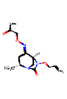 C=CCON1C(=O)N2C[C@H]1C(=NOCC(=O)NC)C[C@H]2C(=O)O